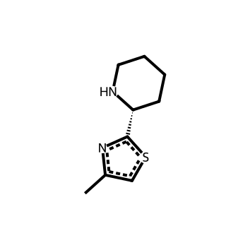 Cc1csc([C@H]2CCCCN2)n1